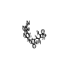 C=CC1=C(/C(C)=C(\C)[C@@H]2CN(Cc3ccc(-n4cnc(C#N)n4)nc3)CC(=O)N2)COC1=O